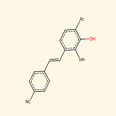 CCCc1c(C=Cc2ccc(C#N)cc2)ccc(C(C)=O)c1O